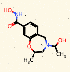 CC(O)N1Cc2ccc(C(=O)NO)cc2O[C@H](C)C1